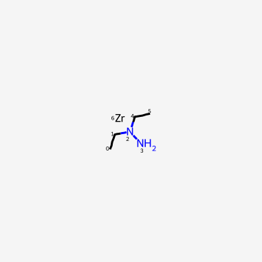 CCN(N)CC.[Zr]